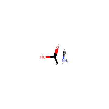 CC(=O)O.CCN